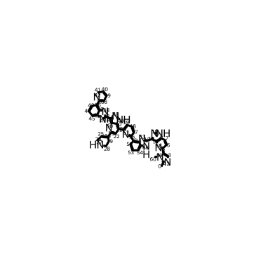 Cc1ncc(-c2ccc3[nH]nc(-c4nc5c(-c6cccc(-c7cc(C8=CCNCC8)nc8c(-c9nc%10c(-c%11ccccn%11)cccc%10[nH]9)n[nH]c78)n6)cccc5[nH]4)c3n2)n1C